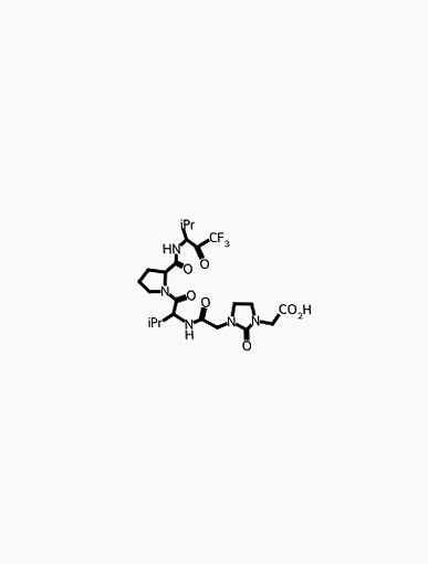 CC(C)C(NC(=O)CN1CCN(CC(=O)O)C1=O)C(=O)N1CCCC1C(=O)NC(C(=O)C(F)(F)F)C(C)C